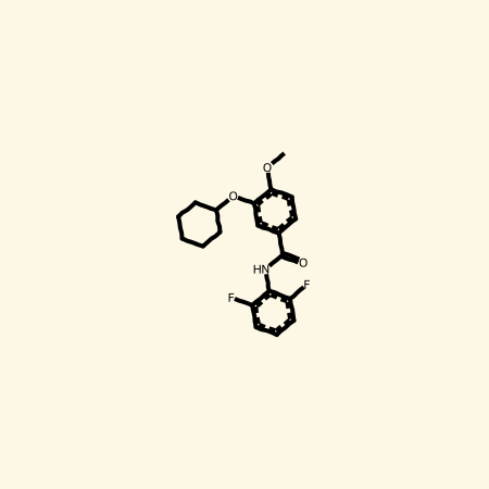 COc1ccc(C(=O)Nc2c(F)cccc2F)cc1OC1CCCCC1